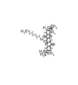 CCCCCCCCCCCC1=C(C(=O)c2ccc(C(C)(C)C)cc2)C(=O)C=C(C(=O)c2ccc(C(C)(C)C)cc2)C1=O